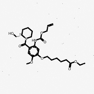 C=CCOC(=O)Nc1cc(OCCCCCC(=O)OCC)c(OC)cc1C(=O)N1CCCC[C@H]1CO